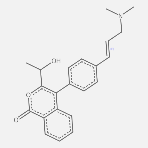 CC(O)c1oc(=O)c2ccccc2c1-c1ccc(/C=C/CN(C)C)cc1